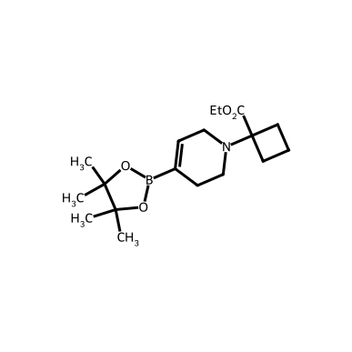 CCOC(=O)C1(N2CC=C(B3OC(C)(C)C(C)(C)O3)CC2)CCC1